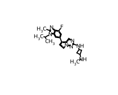 CNC1CC(Nc2ncc3c(-c4cc(F)c5nc(C)n(C(C)C)c5c4)ccn3n2)C1